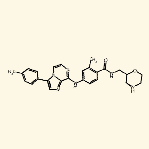 Cc1ccc(-c2cnc3c(Nc4ccc(C(=O)NCC5CNCCO5)c(C)c4)nccn23)cc1